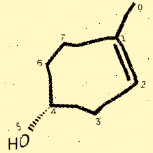 CC1=CC[C@H](O)CC1